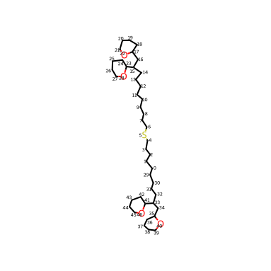 C(CCCCSCCCCCCCCCC(CC1CCCCO1)C1CCCCO1)CCCCC(CC1CCCCO1)C1CCCCO1